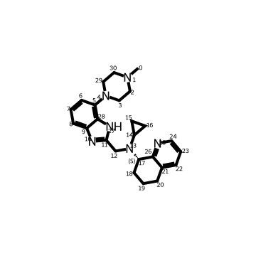 CN1CCN(c2cccc3nc(CN(C4CC4)[C@H]4CCCc5cccnc54)[nH]c23)CC1